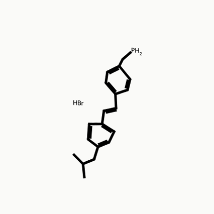 Br.CC(C)Cc1ccc(C=Cc2ccc(CP)cc2)cc1